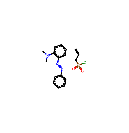 C=CCS(=O)(=O)Cl.CN(C)c1ccccc1N=Nc1ccccc1